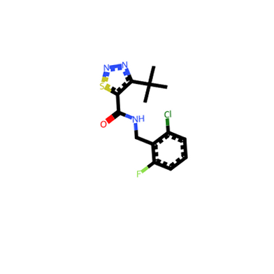 CC(C)(C)c1nnsc1C(=O)NCc1c(F)cccc1Cl